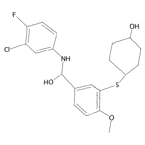 COc1ccc(C(O)Nc2ccc(F)c(Cl)c2)cc1SC1CCC(O)CC1